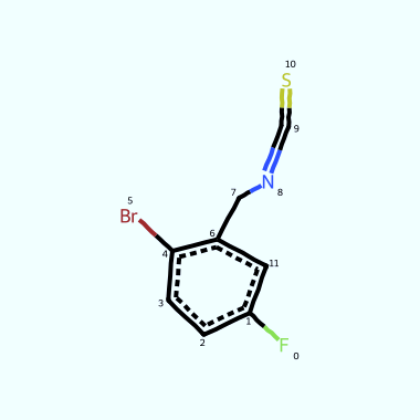 Fc1ccc(Br)c(CN=C=S)c1